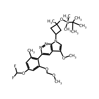 COCOc1cc(OC(F)F)cc(C)c1-c1cc2c(OC)cn(C3CC(C)(O[Si](C)(C)C(C)(C)C)C3)c2nn1